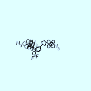 CC(C)(C)[Si](C)(C)OCc1cc(C2CCC(OS(C)(=O)=O)C2)ccc1OC(F)F